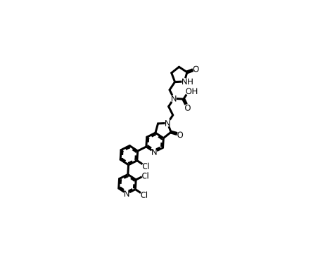 O=C1CCC(CN(CCN2Cc3cc(-c4cccc(-c5ccnc(Cl)c5Cl)c4Cl)ncc3C2=O)C(=O)O)N1